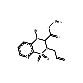 C=CCN1C(C(=O)OCCCCC)N(CC)c2cccnc2S1(=O)=O